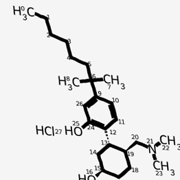 CCCCCCC(C)(C)c1ccc([C@H]2C[C@H](O)CC[C@@H]2CN(C)C)c(O)c1.Cl